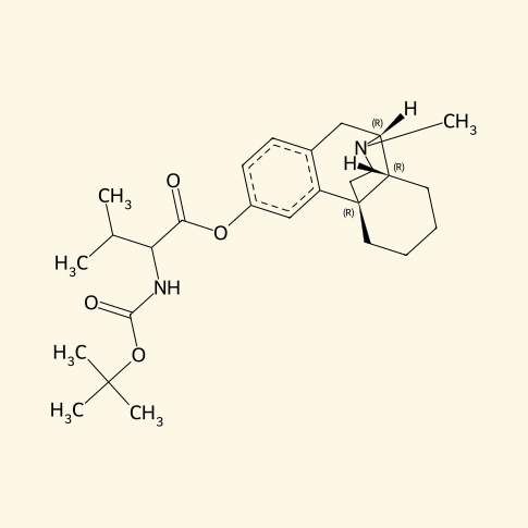 CC(C)C(NC(=O)OC(C)(C)C)C(=O)Oc1ccc2c(c1)[C@@]13CCCC[C@H]1[C@@H](C2)N(C)CC3